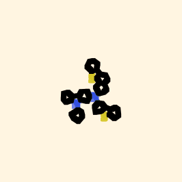 c1ccc(-n2c3ccccc3c3ccc(N(c4ccc5sc6ccccc6c5c4)c4ccc5ccc6c7ccccc7sc6c5c4)cc32)cc1